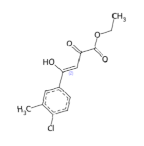 CCOC(=O)C(=O)/C=C(\O)c1ccc(Cl)c(C)c1